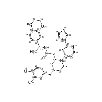 CC(NC(=O)CC1CN(Cc2ccc(Cl)c(Cl)c2)CCN1c1ccnc(-n2ccnc2)n1)c1ccc2c(c1)OCCO2